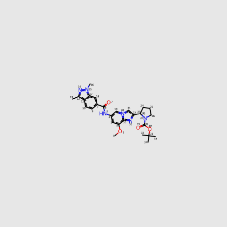 COc1cc(NC(=O)c2ccc3c(C)nn(C)c3c2)cn2cc([C@H]3CCCN3C(=O)OC(C)(C)C)nc12